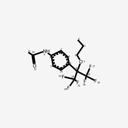 CCCOC(c1ccc(NC(C)=O)cc1)(C(F)(F)F)C(F)(F)F